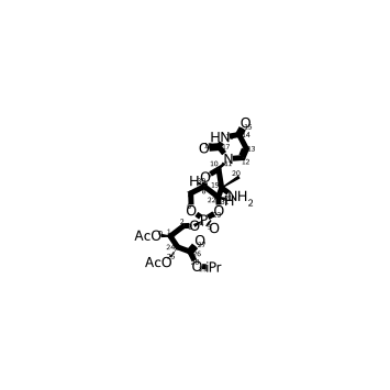 CC(=O)O[C@@H](CO[P@@]1(=O)OC[C@H]2O[C@@H](n3ccc(=O)[nH]c3=O)[C@](C)(N)[C@@H]2O1)[C@@H](OC(C)=O)C(=O)OC(C)C